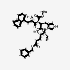 CC(C)C[C@H](NC(=O)[C@H](Cc1c[nH]cn1)N(C(=O)OC(C)(C)C)C(=O)[C@@H](N)Cc1cccc2ccccc12)[C@@H](O)CCC(=O)OCc1ccccc1